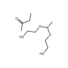 CCC(C)=O.CN(OCCO)OCCO